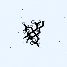 CCCCC(CC(C)=O)(CC(C)=O)C(CC(C)=O)(CC(C)=O)CC(C)=O